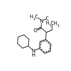 CCC(C(=O)N(C)C)c1cccc(NC2CCCCC2)c1